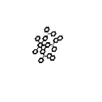 c1ccc(-c2cc(-c3ccccc3)c3c4ccc(N(c5ccccc5)c5ccc6ccccc6c5)cc4c4cc(N(c5ccccc5)c5ccc6ccccc6c5)ccc4c3c2-c2ccc(N(c3ccccc3)c3ccccc3)cc2)cc1